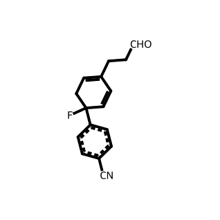 N#Cc1ccc(C2(F)C=CC(CCC=O)=CC2)cc1